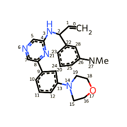 C=CC(Nc1cncc(-c2cccc(N3CCOCC3)c2)n1)c1cccc(NC)c1